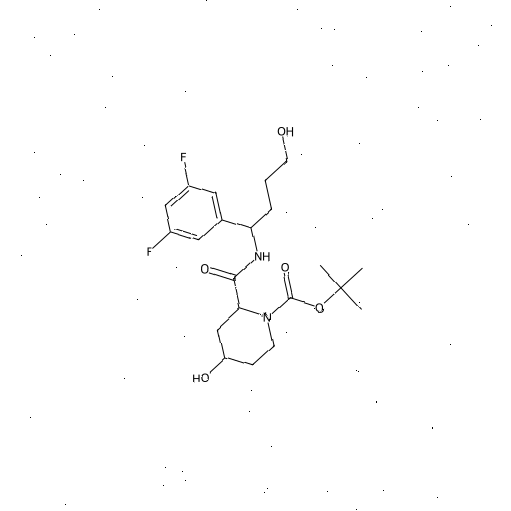 CC(C)(C)OC(=O)N1CCC(O)CC1C(=O)NC(CCCO)c1cc(F)cc(F)c1